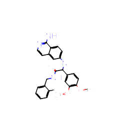 CCOc1cc(C(Nc2ccc3c(N)nccc3c2)C(=O)NCc2ccccc2C(F)(F)F)ccc1OC(C)C